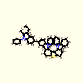 c1ccc(-n2c3ccccc3c3cc(-c4ccc5c(c4)c4ccc6sc7ccc8c9ccccc9n(-c9ccccc9)c8c7c6c4n5-c4ccccc4)ccc32)cc1